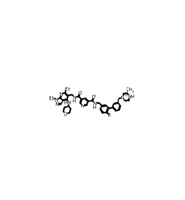 CCc1nc2c(cnn2CC)c(NC2CCOCC2)c1CNC(=O)c1cncc(C(=O)NCc2ccc(F)c(-c3cccc(CN4CCN[C@@H](C)C4)c3)c2)c1